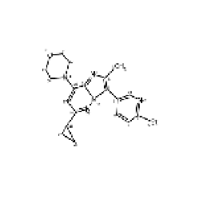 CCc1ccc(-c2c(C)nc3c(N4CCOCC4)cc(C4CC4)nn23)cn1